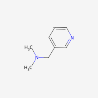 CN(C)Cc1c[c]cnc1